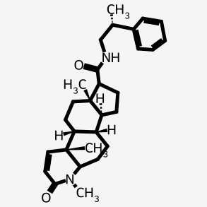 C[C@@H](CNC(=O)C1CC[C@H]2[C@@H]3CCC4N(C)C(=O)C=C[C@]4(C)[C@@H]3CC[C@]12C)c1ccccc1